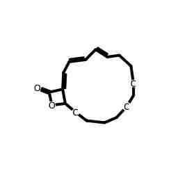 O=C1OC2CCCCCCCCC/C=C/C=C/C=C/12